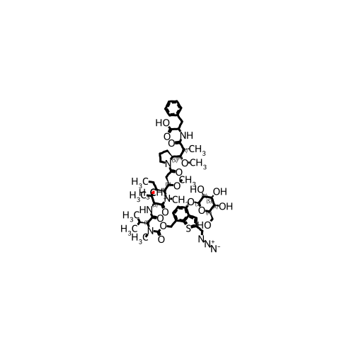 CCC(C)[C@@H]([C@@H](CC(=O)N1CCC[C@H]1[C@H](OC)[C@@H](C)C(=O)NC(Cc1ccccc1)C(=O)O)OC)N(C)C(=O)[C@@H](NC(=O)[C@H](C(C)C)N(C)C(=O)OCc1ccc(O[C@@H]2O[C@H](CO)[C@H](O)[C@H](O)[C@H]2O)c2cc(CN=[N+]=[N-])sc12)C(C)C